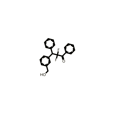 O=C(c1ccccc1)C(F)(F)C(c1ccccc1)c1cccc(CO)c1